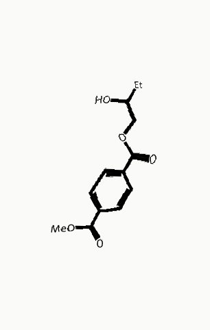 CCC(O)COC(=O)c1ccc(C(=O)OC)cc1